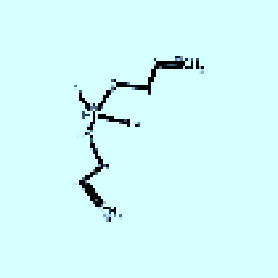 C=CC[O][Hf]([I])([I])[O]CC=C